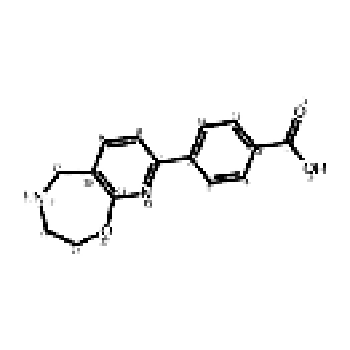 O=C(O)c1ccc(-c2ccc3c(n2)OCCNC3)cc1